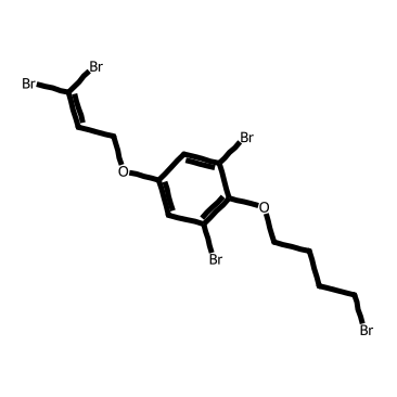 BrCCCCOc1c(Br)cc(OCC=C(Br)Br)cc1Br